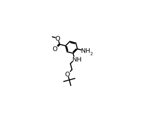 COC(=O)c1ccc(N)c(NCCOC(C)(C)C)c1